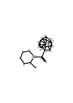 C=C(N1CCCCC1C)[C]12[CH]3[CH]4[CH]5[CH]1[Fe]45321678[CH]2[CH]1[CH]6[CH]7[CH]28